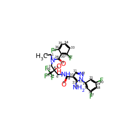 CCN(CC(O)(CNC(=O)c1cnn(-c2cc(F)cc(F)c2)c1N)C(F)(F)F)C(=O)c1c(F)cccc1F